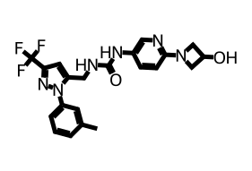 Cc1cccc(-n2nc(C(F)(F)F)cc2CNC(=O)Nc2ccc(N3CC(O)C3)nc2)c1